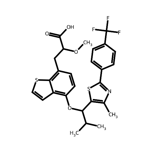 COC(Cc1ccc(OC(c2sc(-c3ccc(C(F)(F)F)cc3)nc2C)C(C)C)c2ccsc12)C(=O)O